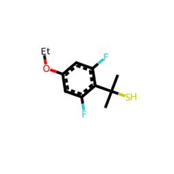 CCOc1cc(F)c(C(C)(C)S)c(F)c1